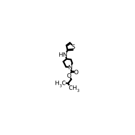 CC(C)COC(=O)N1CCC(Nc2ccsc2)CC1